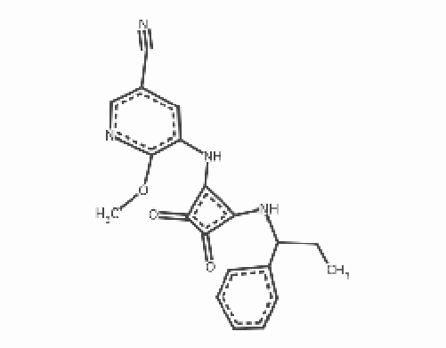 CCC(Nc1c(Nc2cc(C#N)cnc2OC)c(=O)c1=O)c1ccccc1